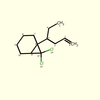 C=C[CH]C(CC)C12CCCCC1C2(Cl)Cl